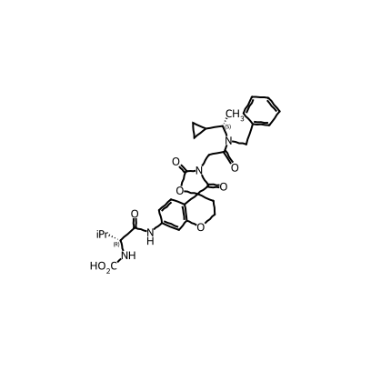 CC(C)[C@@H](NC(=O)O)C(=O)Nc1ccc2c(c1)OCCC21OC(=O)N(CC(=O)N(Cc2ccccc2)[C@@H](C)C2CC2)C1=O